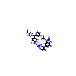 CCN1CCN(C(c2ccc(Nc3ncc(F)c(-c4cc(F)c5nc(C)n(C(C)C)c5c4)n3)nc2)c2ccccn2)CC1